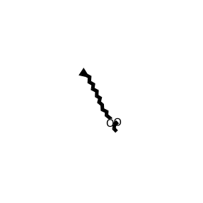 CCC(=O)OCCCCCCCCCCCCCC1CC1